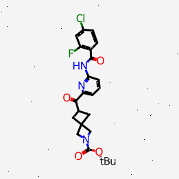 CC(C)(C)OC(=O)N1CC2(CC(C(=O)c3cccc(NC(=O)c4ccc(Cl)cc4F)n3)C2)C1